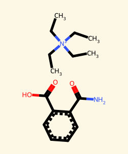 CC[N+](CC)(CC)CC.NC(=O)c1ccccc1C(=O)O